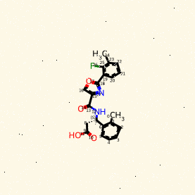 Cc1ccccc1[C@H](CC(=O)O)NC(=O)c1coc(-c2cccc(C)c2F)n1